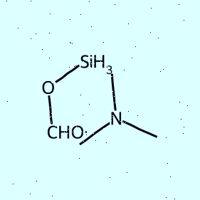 CN(C)C.O=[C]O[SiH3]